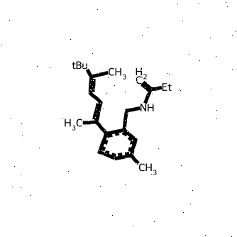 C=C(CC)NCc1cc(C)ccc1/C(C)=C/C=C(\C)C(C)(C)C